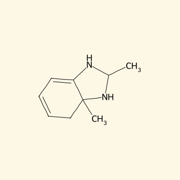 CC1NC2=CC=CCC2(C)N1